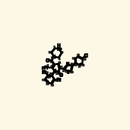 CCCc1c(C(=O)N2CCNCC2)cc(-c2nc(-c3ccc(Cl)cc3)cs2)c(=O)n1-c1c(CC)cccc1CC